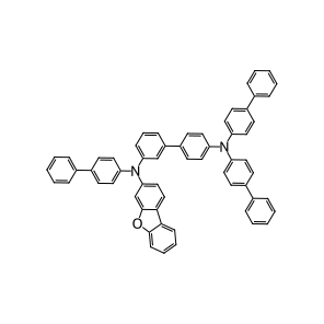 c1ccc(-c2ccc(N(c3ccc(-c4ccccc4)cc3)c3ccc(-c4cccc(N(c5ccc(-c6ccccc6)cc5)c5ccc6c(c5)oc5ccccc56)c4)cc3)cc2)cc1